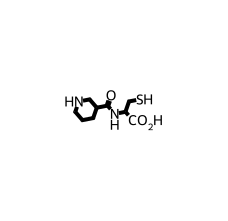 O=C(NC(CS)C(=O)O)C1CCCNC1